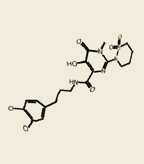 Cn1c(N2CCCCS2(=O)=O)nc(C(=O)NCCCc2ccc(Cl)c(Cl)c2)c(O)c1=O